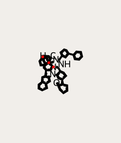 CN1C(c2ccccc2)N=C(c2ccc3c(oc4ccccc43)c2-n2c3cc4ccccc4cc3c3cc4ccccc4cc32)NC1c1cccc(-c2ccccc2)c1